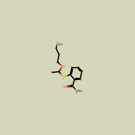 CCCCCCCCCCCCCOC(C)Sc1ccccc1C(=O)OC